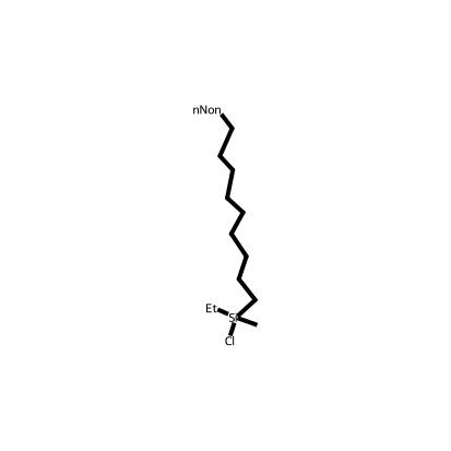 CCCCCCCCCCCCCCCCCC[Si](C)(Cl)CC